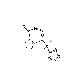 CC(C)(C(=O)N1CCCC1C(N)=O)c1nnco1